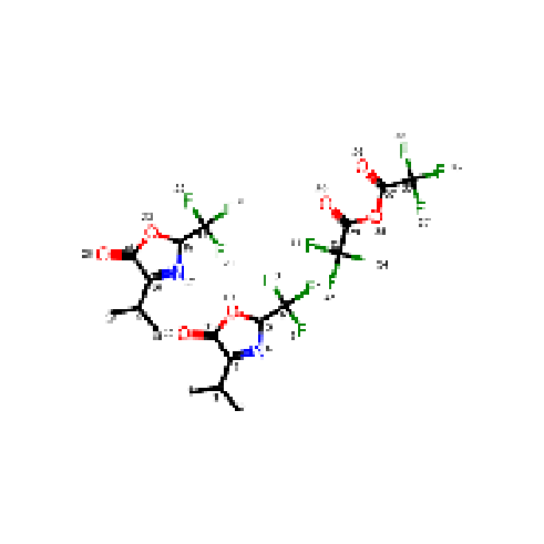 CC(C)C1=NC(C(F)(F)F)OC1=O.CC(C)C1=NC(C(F)(F)F)OC1=O.O=C(OC(=O)C(F)(F)F)C(F)(F)F